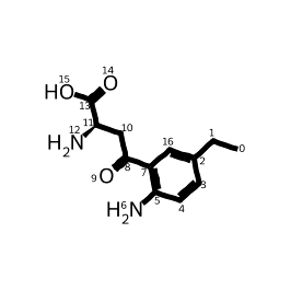 CCc1ccc(N)c(C(=O)C[C@@H](N)C(=O)O)c1